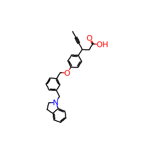 CC#CC(CC(=O)O)c1ccc(OCc2cccc(CN3CCc4ccccc43)c2)cc1